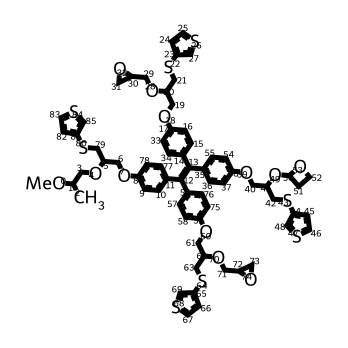 COC(C)COC(COc1ccc(/C(=C(\c2ccc(OCC(CSc3ccsc3)OCC3CO3)cc2)c2ccc(OCC(CSc3ccsc3)OC3CCO3)cc2)c2ccc(OCC(CSc3ccsc3)OCC3CO3)cc2)cc1)CSc1ccsc1